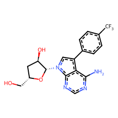 Nc1ncnc2c1c(-c1ccc(C(F)(F)F)cc1)cn2[C@@H]1O[C@H](CO)C[C@H]1O